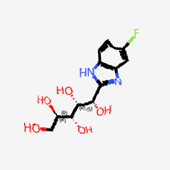 OC[C@@H](O)[C@@H](O)[C@H](O)[C@@H](O)c1nc2cc(F)ccc2[nH]1